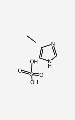 CC.O=S(=O)(O)O.c1c[nH]cn1